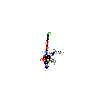 COC(=O)C1CN(c2ccc3c(c2)S(C)(C)c2cc(N4CCC4)ccc2C32OC(=O)c3ccc(C(=O)NCCOCCOCCCCCCCl)cc32)C1